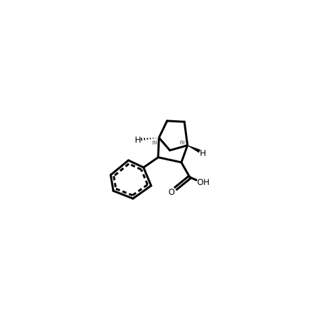 O=C(O)C1C(c2ccccc2)[C@H]2CC[C@H]1C2